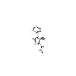 CCc1c(-c2ccccc2)ncn1CCF